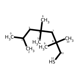 CC(C)CC(C)(C)CC(C)(C)CS